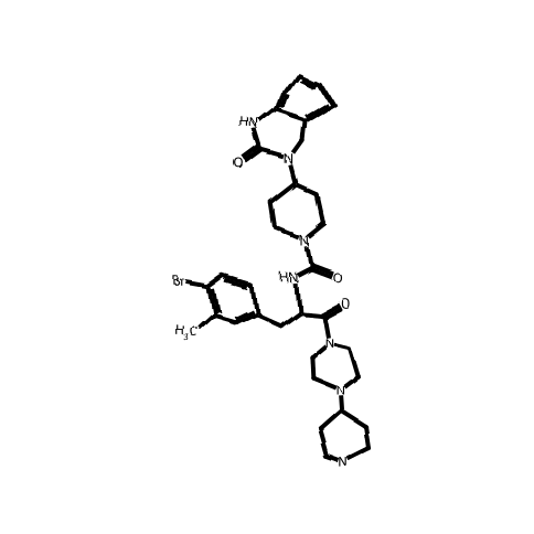 Cc1cc(CC(NC(=O)N2CCC(N3Cc4ccccc4NC3=O)CC2)C(=O)N2CCN(C3CC[N]CC3)CC2)ccc1Br